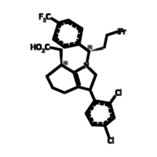 CC(C)CC[C@@H](c1ccc(C(F)(F)F)cc1)N1CC(c2ccc(Cl)cc2Cl)C2=C1[C@H](CC(=O)O)CCC2